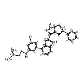 CN(C)CCNc1cc(F)cc(-c2nccc3[nH]c(-c4n[nH]c5cnc(-c6cnccn6)cc45)nc23)c1